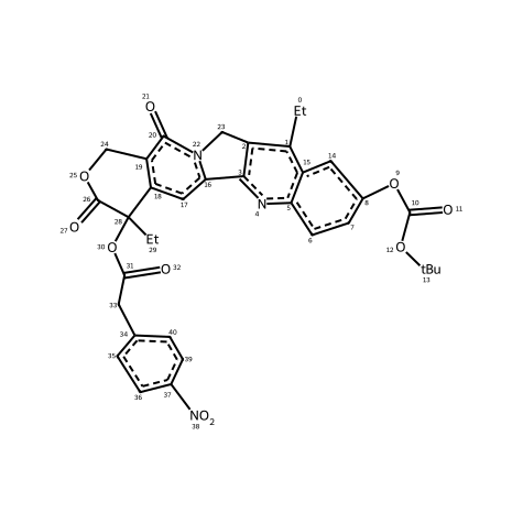 CCc1c2c(nc3ccc(OC(=O)OC(C)(C)C)cc13)-c1cc3c(c(=O)n1C2)COC(=O)C3(CC)OC(=O)Cc1ccc([N+](=O)[O-])cc1